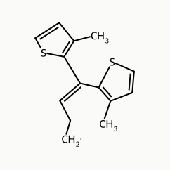 [CH2]CC=C(c1sccc1C)c1sccc1C